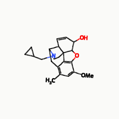 COc1cc(C)c2c3c1OC1C(O)C=CC4C(C2)N(CC2CC2)CCC341